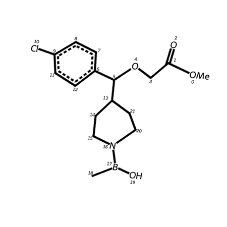 COC(=O)COC(c1ccc(Cl)cc1)C1CCN(B(C)O)CC1